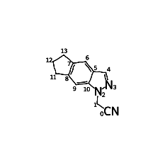 N#CCn1ncc2cc3c(cc21)CCC3